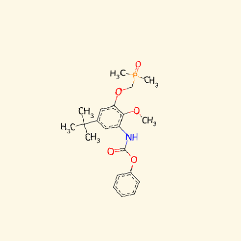 COc1c(NC(=O)Oc2ccccc2)cc(C(C)(C)C)cc1OCP(C)(C)=O